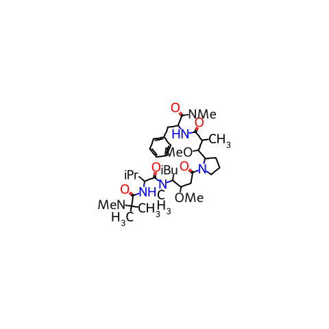 CCC(C)C(C(CC(=O)N1CCCC1C(OC)C(C)C(=O)NC(Cc1ccccc1)C(=O)NC)OC)N(C)C(=O)C(NC(=O)C(C)(C)NC)C(C)C